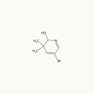 CC(C)C1=CC(C)(C)C(O)N=C1